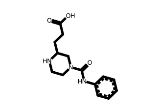 O=C(O)CCC1CN(C(=O)Nc2ccccc2)CCN1